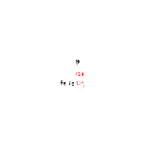 O.[Fe].[Fe].[OH][Ni]